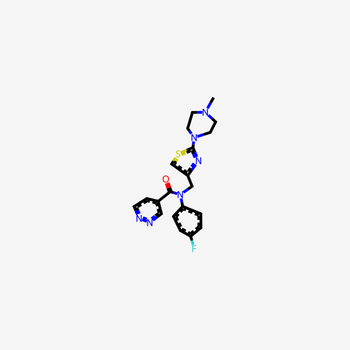 CN1CCN(c2nc(CN(C(=O)c3ccnnc3)c3ccc(F)cc3)cs2)CC1